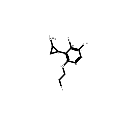 CNC1CC1c1c(OCCF)ccc(F)c1F